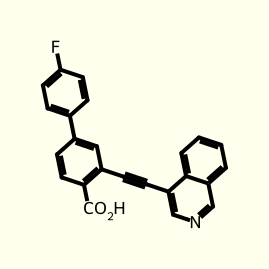 O=C(O)c1ccc(-c2ccc(F)cc2)cc1C#Cc1cncc2ccccc12